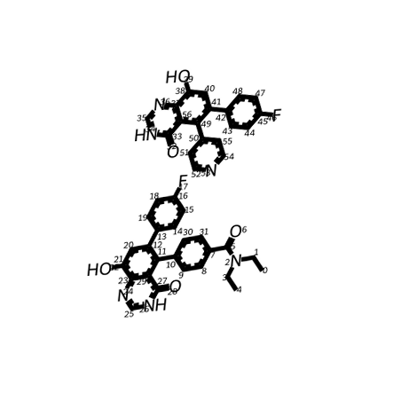 CCN(CC)C(=O)c1ccc(-c2c(-c3ccc(F)cc3)cc(O)c3nc[nH]c(=O)c23)cc1.O=c1[nH]cnc2c(O)cc(-c3ccc(F)cc3)c(-c3ccncc3)c12